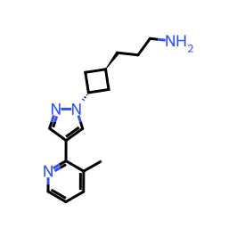 Cc1cccnc1-c1cnn([C@H]2C[C@H](CCCN)C2)c1